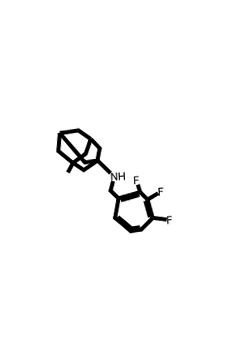 CC12CC3CC(C1)CC(NCC1=C(F)C(F)=C(F)C=C=C1)(C3)C2